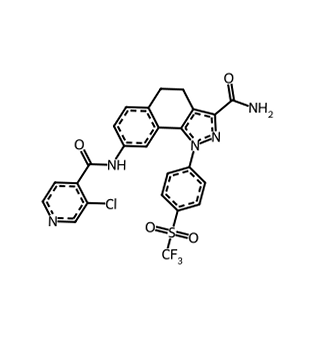 NC(=O)c1nn(-c2ccc(S(=O)(=O)C(F)(F)F)cc2)c2c1CCc1ccc(NC(=O)c3ccncc3Cl)cc1-2